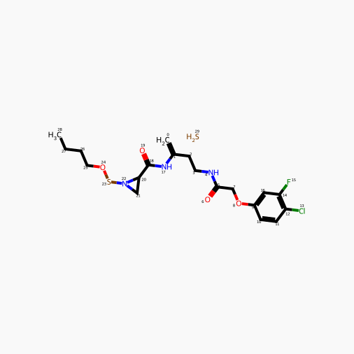 C=C(CCNC(=O)COc1ccc(Cl)c(F)c1)NC(=O)C1CN1SOCCCC.S